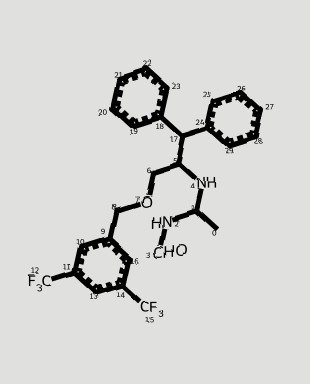 CC(NC=O)NC(COCc1cc(C(F)(F)F)cc(C(F)(F)F)c1)C(c1ccccc1)c1ccccc1